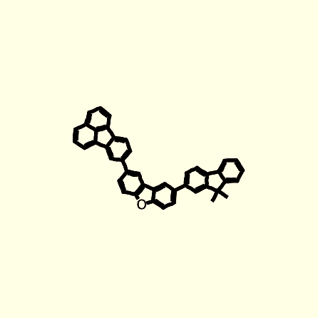 CC1(C)c2ccccc2-c2ccc(-c3ccc4oc5ccc(-c6ccc7c(c6)-c6cccc8cccc-7c68)cc5c4c3)cc21